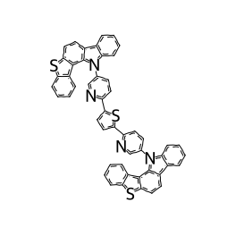 c1ccc2c(c1)sc1ccc3c4ccccc4n(-c4ccc(-c5ccc(-c6ccc(-n7c8ccccc8c8ccc9sc%10ccccc%10c9c87)cn6)s5)nc4)c3c12